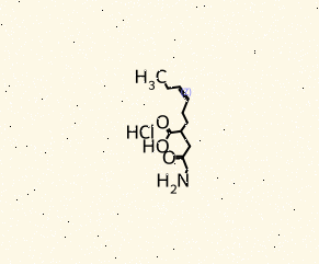 CC/C=C\CCC(CC(=O)CN)C(=O)O.Cl